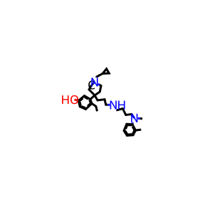 CCc1ccc(O)cc1C1(CCCNCCCCN(C)c2ccccc2C)CCN(CC2CC2)CC1